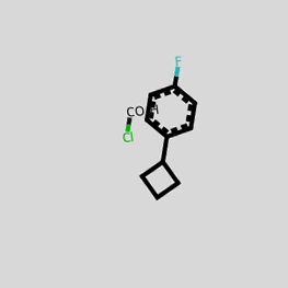 Fc1ccc(C2CCC2)cc1.O=C(O)Cl